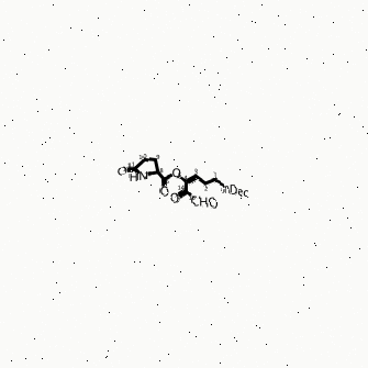 CCCCCCCCCCCCC=C(OC(=O)C1CCC(=O)N1)C(=O)C=O